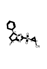 N#C[C@@H]1C[C@@H]1S(=O)(=O)c1nc2n(n1)[C@H](C1C=CC=CC1)C[C@@H]2F